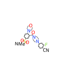 CNS(=O)(=O)c1ccc(N2CCOCC2)c(C(=O)N2CCN(c3ccc(C#N)c(F)c3)CC2)c1